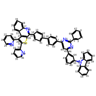 c1ccc(-c2nc(-c3ccc(-c4ccc(-c5nc6ccccc6c6c(-c7ccccn7)c(-c7ccccn7)sc56)cc4)cc3)cc(-c3cccc(-n4c5ccccc5c5ccccc54)c3)n2)cc1